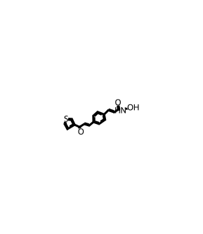 O=C(C=Cc1ccc(C=CC(=O)c2ccsc2)cc1)NO